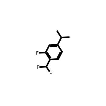 CC(C)c1ccc(C(F)F)c(F)c1